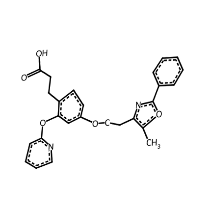 Cc1oc(-c2ccccc2)nc1CCOc1ccc(CCC(=O)O)c(Oc2ccccn2)c1